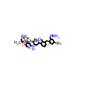 CNC(=O)/C(=C\C(=N)c1cccc(Cc2c(F)cc(C(C)(C)C)cc2/C=N\N)c1COC(C)=O)Nc1ccc(OC(C)(C)CN(C)C)cn1